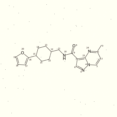 Cc1ccn2ncc(C(=O)NCC3CCC(c4ccco4)CC3)c2n1